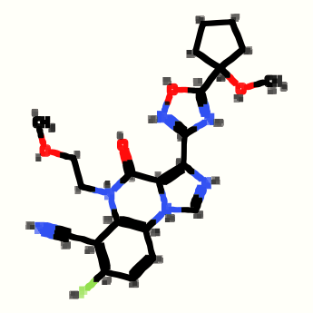 COCCn1c(=O)c2c(-c3noc(C4(OC)CCCC4)n3)ncn2c2ccc(F)c(C#N)c21